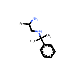 CC(C)C(N)CNC(C)(C)c1ccccc1